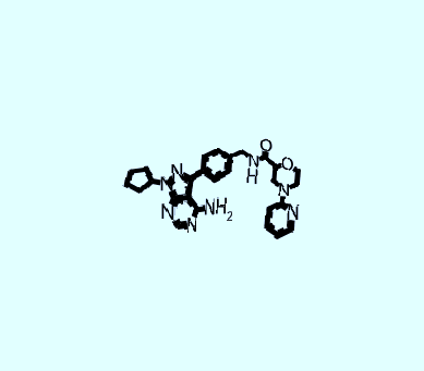 Nc1ncnc2c1c(-c1ccc(CNC(=O)C3CN(c4ccccn4)CCO3)cc1)nn2C1CCCC1